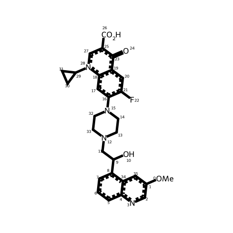 COc1cnc2cccc(C(O)CN3CCN(c4cc5c(cc4F)c(=O)c(C(=O)O)cn5C4CC4)CC3)c2c1